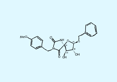 COc1ccc(CN2C(=O)N[C@@]3(O[C@@H](OCc4ccccc4)[C@H](O)[C@H]3O)C2=O)cc1